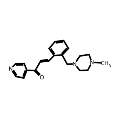 CN1CCN(Cc2ccccc2C=CC(=O)c2ccncc2)CC1